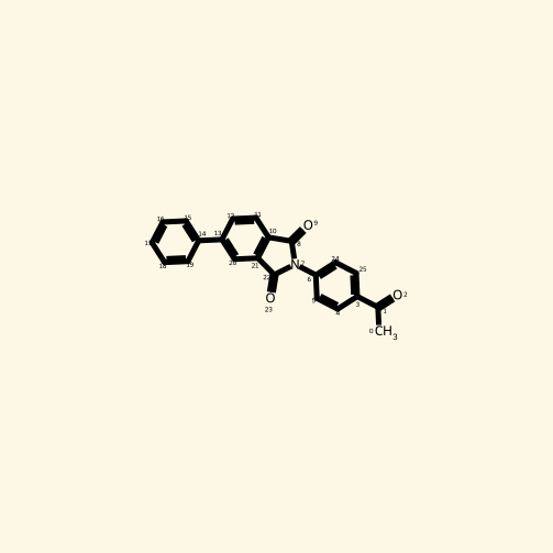 CC(=O)c1ccc(N2C(=O)c3ccc(-c4ccccc4)cc3C2=O)cc1